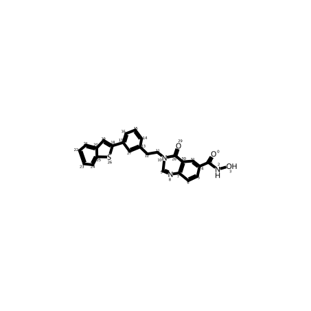 O=C(NO)c1ccc2ncn(CCc3cccc(-c4cc5ccccc5s4)c3)c(=O)c2c1